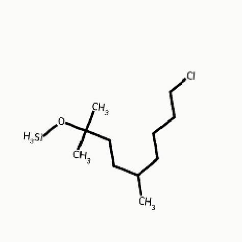 CC(CCCCCl)CCC(C)(C)O[SiH3]